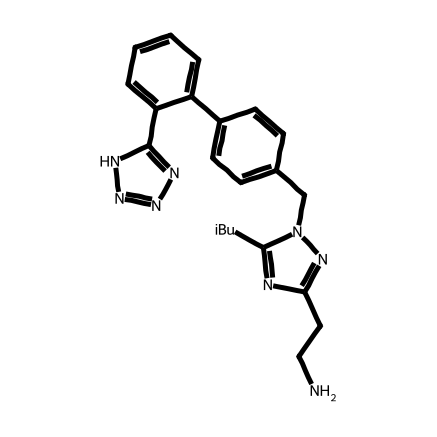 CCC(C)c1nc(CCN)nn1Cc1ccc(-c2ccccc2-c2nnn[nH]2)cc1